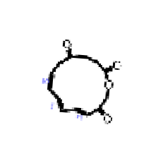 O=C1/C=C/C=C/C=C\CC(=O)CCC(=O)OC1